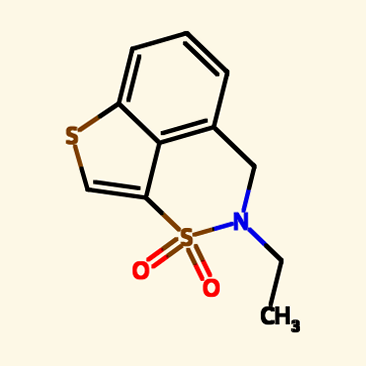 CCN1Cc2cccc3scc(c23)S1(=O)=O